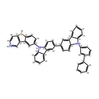 c1ccc(-c2cccc(-n3c4ccccc4c4cc(-c5ccc6c(c5)c5ccccc5n6-c5ccc6sc7ccncc7c6c5)ccc43)c2)cc1